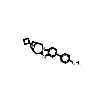 Cc1ccc(-c2ccc3c(c2)nc2n3CC3CCC(C2)N3C2CCC2)cc1